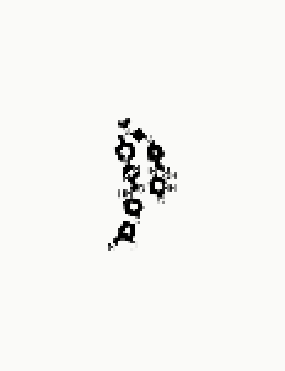 CC(C)N(CC1CCN(c2cnc(C(=O)N[C@H]3CC[C@H](Oc4ccc(C#N)c(Cl)c4)CC3)cn2)CC1)[C@H]1C[C@H](Oc2ccc(C(=O)NC3CCC(=O)NC3O)cc2)C1